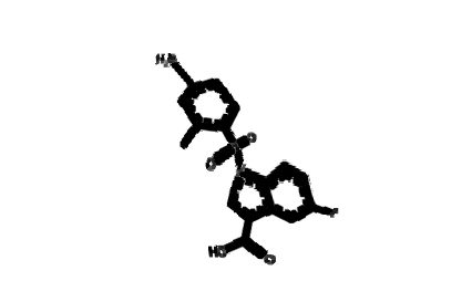 Bc1ccc(S(=O)(=O)n2cc(C(=O)O)c3cc(F)ccc32)c(C)c1